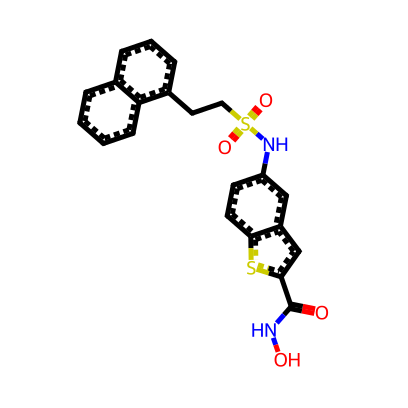 O=C(NO)c1cc2cc(NS(=O)(=O)CCc3cccc4ccccc34)ccc2s1